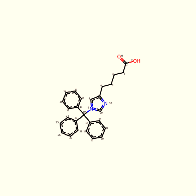 O=C(O)CCCCc1cn(C(c2ccccc2)(c2ccccc2)c2ccccc2)cn1